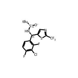 CC(C)(C)[S@@+]([O-])N[C@@H](c1cnc(C(F)(F)F)s1)c1ccc(F)c(Cl)c1F